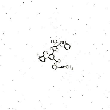 CC#CC1CCCN1C(=O)c1cc(-c2ncc([C@](C)(N)Cc3ccccc3)o2)cc(-c2cccc(F)c2C#N)c1